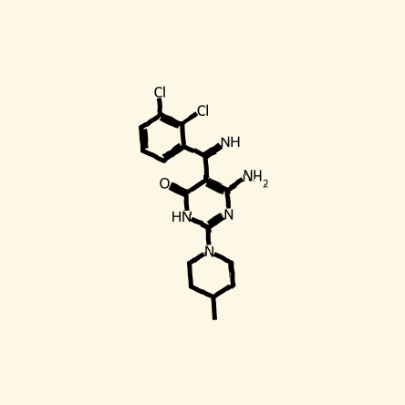 CC1CCN(c2nc(N)c(C(=N)c3cccc(Cl)c3Cl)c(=O)[nH]2)CC1